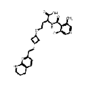 Cc1cncc(Cl)c1C(=O)NC(CCO[C@H]1C[C@@H](CCc2ccc3c(n2)NCCC3)C1)C(=O)O